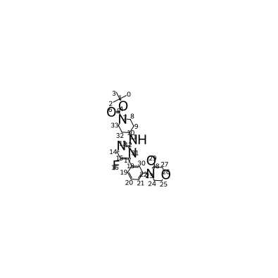 CC(C)(C)OC(=O)N1CCC(Nc2ncc(F)c(-c3cccc(N4CCOCC4=O)c3)n2)CC1